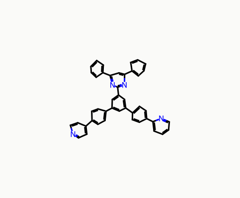 c1ccc(-c2cc(-c3ccccc3)nc(-c3cc(-c4ccc(-c5ccncc5)cc4)cc(-c4ccc(-c5ccccn5)cc4)c3)n2)cc1